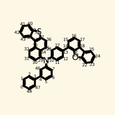 c1ccc(-c2cccc(N(c3ccc(-c4cccc5c4oc4ccccc45)cc3)c3cccc4c3ccc3sc5ccccc5c34)c2)cc1